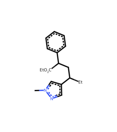 CCOC(=O)C(CC(CC)c1cnn(C)c1)c1ccccc1